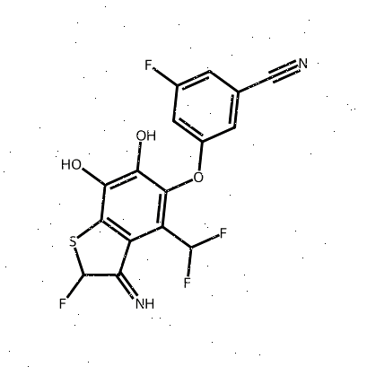 N#Cc1cc(F)cc(Oc2c(O)c(O)c3c(c2C(F)F)C(=N)C(F)S3)c1